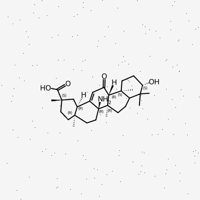 CC1(C)C2CC[C@]3(C)[C@H](C(=O)C=C4[C@@H]5C[C@@](C)(C(=O)O)CC[C@]5(C)CC[C@]43N)[C@@]2(C)CC[C@@H]1O